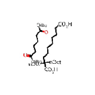 CC(C)COC(=O)CCCCC(=O)OCC(C)C.CCCCCCCCC(CCCCCCCC)(CCCCCCCC(=O)O)C(=O)O